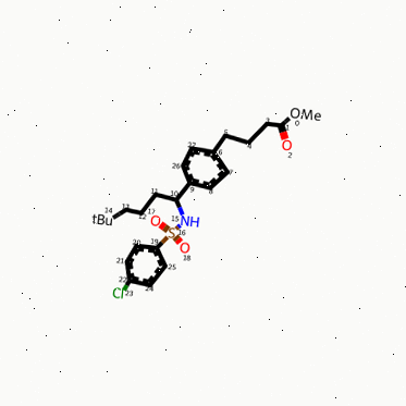 COC(=O)CCCc1ccc(C(CCCC(C)(C)C)NS(=O)(=O)c2ccc(Cl)cc2)cc1